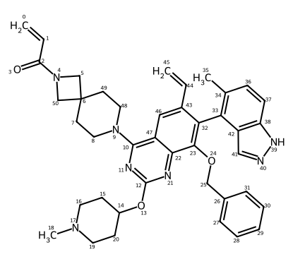 C=CC(=O)N1CC2(CCN(c3nc(OC4CCN(C)CC4)nc4c(OCc5ccccc5)c(-c5c(C)ccc6[nH]ncc56)c(C=C)cc34)CC2)C1